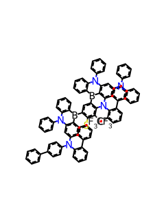 FC(F)(F)c1cccc(-c2ccccc2)c1N1c2cc(N(c3ccccc3)c3ccccc3)cc3c2B(c2ccccc2N3c2ccccc2)c2cc3c(c(C(F)(F)F)c21)Sc1cc(N(c2ccc(-c4ccccc4)cc2)c2ccccc2-c2ccccc2)cc2c1B3c1ccccc1N2c1ccccc1